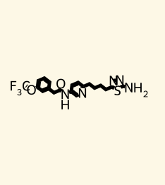 Nc1nnc(CCCCc2ccc(NC(=O)Cc3cccc(OC(F)(F)F)c3)cn2)s1